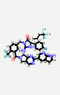 N=C1N[C@](CCCC(F)(F)F)(c2ccc(F)cc2)C(=O)N1Cc1ccc(C(F)(F)F)c(C(=O)N2Cc3cnc(-c4cnc5[nH]ccc5c4)nc3C2)c1